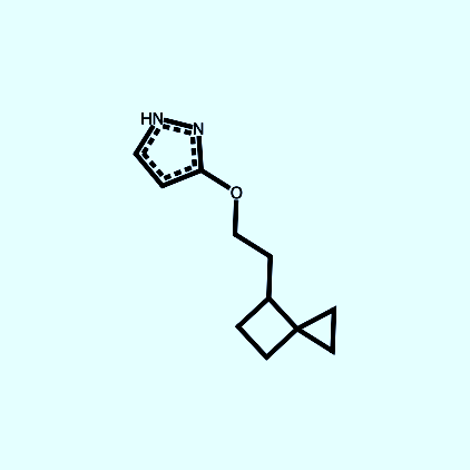 c1cc(OCCC2CCC23CC3)n[nH]1